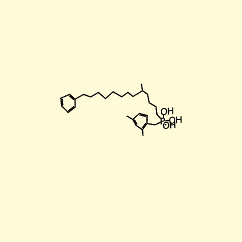 Cc1ccc(CP(O)(O)(O)CCCCC(C)CCCCCCCCc2ccccc2)c(C)c1